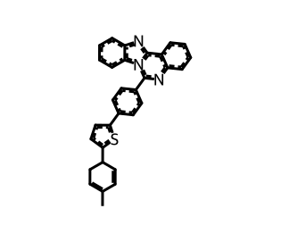 CC1=CCC(c2ccc(-c3ccc(-c4nc5ccccc5c5nc6ccccc6n45)cc3)s2)C=C1